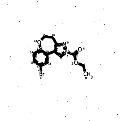 CCOC(=O)n1cc2c(n1)CCOc1ccc(Br)cc1-2